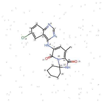 Cc1cc(Nc2ncnc3ccc(Cl)cc23)c(=O)n2c1C(=O)NC21CCCCC1